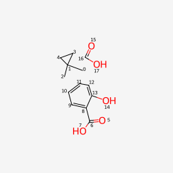 CC1(C)CC1.O=C(O)c1ccccc1O.O=CO